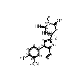 C=Cc1sc([C@]2(C)CC(=O)N(C)C(=N)N2)cc1-c1ccc(F)c(C#N)c1